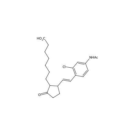 CC(=O)Nc1ccc(C=CC2CCC(=O)C2CCCCCCC(=O)O)c(Cl)c1